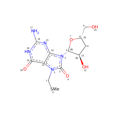 CSCn1c(=O)n([C@@H]2O[C@H](CO)C[C@H]2O)c2nc(N)[nH]c(=O)c21